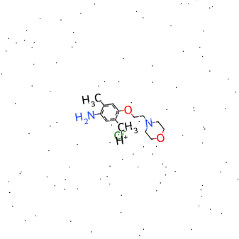 Cc1cc(OCCN2CCOCC2)c(C)cc1N.[Cl-].[H+]